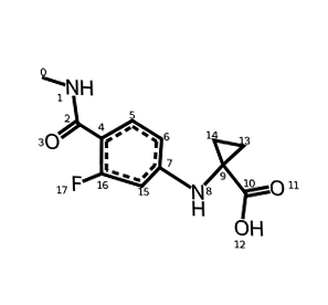 CNC(=O)c1ccc(NC2(C(=O)O)CC2)cc1F